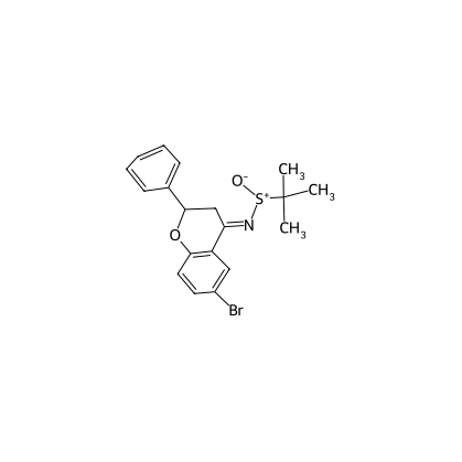 CC(C)(C)[S+]([O-])N=C1CC(c2ccccc2)Oc2ccc(Br)cc21